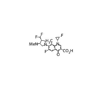 CN[C@@H]1CN(c2c(F)cc3c(=O)c(C(=O)O)cn([C@@H]4C[C@@H]4F)c3c2C)C[C@@H]1C(F)F